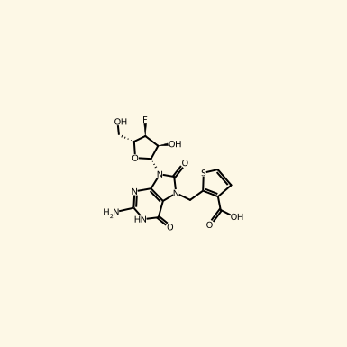 Nc1nc2c(c(=O)[nH]1)n(Cc1sccc1C(=O)O)c(=O)n2[C@@H]1O[C@H](CO)[C@@H](F)[C@H]1O